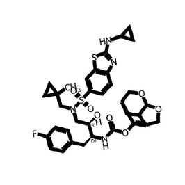 CC1(CN(C[C@@H](O)[C@H](Cc2ccc(F)cc2)NC(=O)OC2=C3COC4OCC2CC34)S(=O)(=O)c2ccc3nc(NC4CC4)sc3c2)CC1